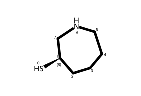 S[C@@H]1CCCCNC1